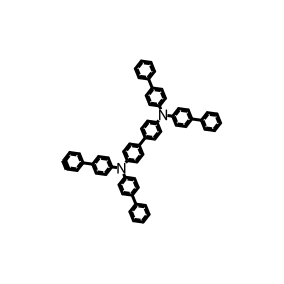 c1ccc(-c2ccc(N(c3ccc(-c4ccccc4)cc3)c3ccc(-c4ccc(N(c5ccc(-c6ccccc6)cc5)c5ccc(-c6ccccc6)cc5)cc4)cc3)cc2)cc#1